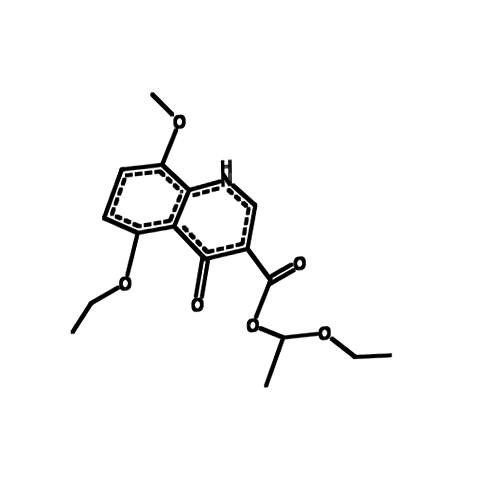 CCOc1ccc(OC)c2[nH]cc(C(=O)OC(C)OCC)c(=O)c12